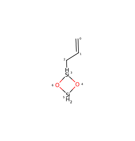 C=CC[SiH]1O[SiH2]O1